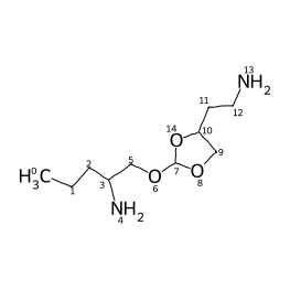 CCCC(N)COC1OCC(CCN)O1